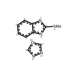 CSc1nc2ccccc2s1.c1nnco1